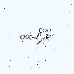 CCCC.O=C([O-])CC(=O)[O-].[Zn+2]